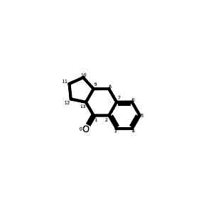 O=C1c2ccccc2CC2CCCC12